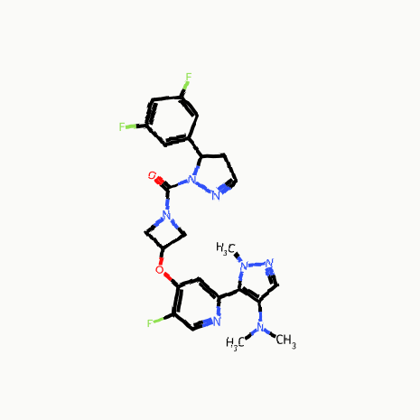 CN(C)c1cnn(C)c1-c1cc(OC2CN(C(=O)N3N=CCC3c3cc(F)cc(F)c3)C2)c(F)cn1